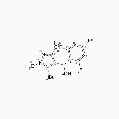 CCC(C)c1c(C(O)c2c(F)cc(F)cc2F)c(C)nn1C